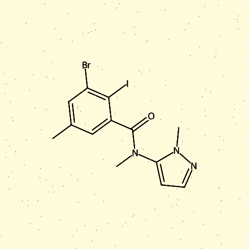 Cc1cc(Br)c(I)c(C(=O)N(C)c2ccnn2C)c1